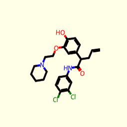 C=CCC(C(=O)Nc1ccc(Cl)c(Cl)c1)c1ccc(O)c(OCCN2CCCCC2)c1